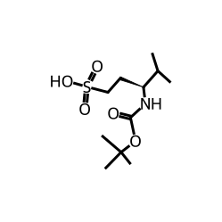 CC(C)[C@H](CCS(=O)(=O)O)NC(=O)OC(C)(C)C